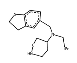 CC(C)CN(Cc1ccc2c(c1)CCS2)C1CCNCC1